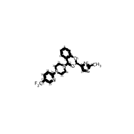 Cc1nc(COc2ccccc2C(=O)N2CCN(c3ccc(C(F)(F)F)cn3)CC2)cs1